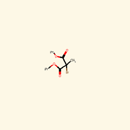 CC(C)OC(=O)C(C)(Br)C(=O)OC(C)C